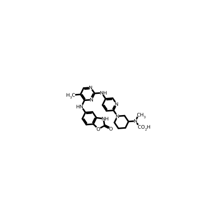 Cc1cnc(Nc2ccc(N3CCCC(N(C)C(=O)O)C3)nc2)nc1Nc1ccc2oc(=O)[nH]c2c1